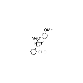 COc1ccc(Cn2cc(-c3ccccc3C=O)nn2)c(OC)c1